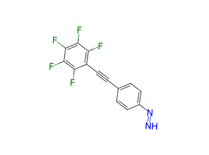 N=Nc1ccc(C#Cc2c(F)c(F)c(F)c(F)c2F)cc1